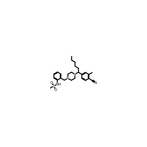 CCCCCC(c1ccc(C#N)c(C)c1)N1CCN(Cc2ccccc2NS(C)(=O)=O)CC1